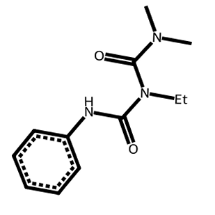 CCN(C(=O)Nc1ccccc1)C(=O)N(C)C